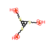 O=S(=O)(O)OCCCCCSCC1=Cc2cc(CSCCCCCOS(=O)(=O)O)cc3cc(CSCCCCCOS(=O)(=O)O)cc(c23)C1